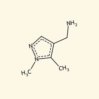 Cc1c(CN)cnn1C